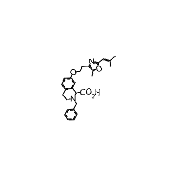 CC(C)=Cc1nc(CCOc2ccc3c(c2)C(C(=O)O)N(Cc2ccccc2)CC3)c(C)o1